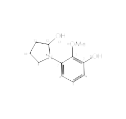 COc1c(O)cccc1N1CCCC1O